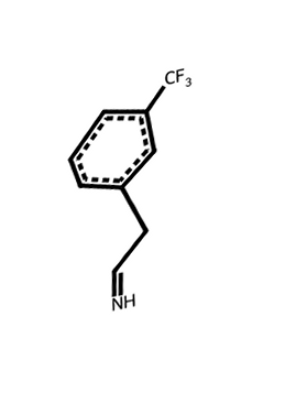 N=CCc1cccc(C(F)(F)F)c1